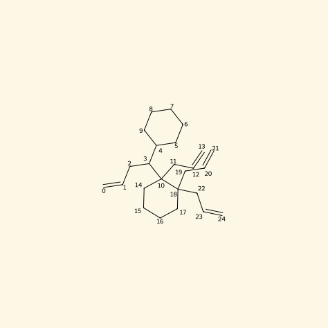 C=CCC(C1CCCCC1)C1(CC=C)CCCCC1(CC=C)CC=C